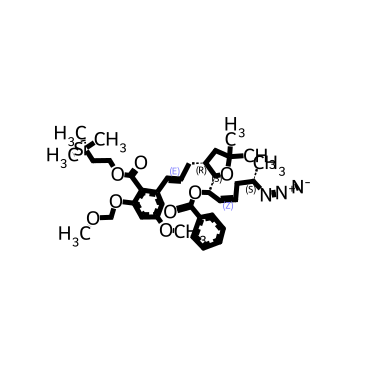 COCOc1cc(OC)cc(/C=C/C[C@@H]2CC(C)(C)O[C@@H]2C(/C=C\C[C@H](C)N=[N+]=[N-])OC(=O)c2ccccc2)c1C(=O)OCC[Si](C)(C)C